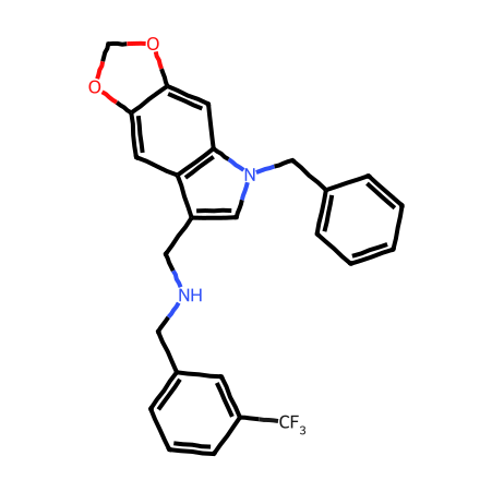 FC(F)(F)c1cccc(CNCc2cn(Cc3ccccc3)c3cc4c(cc23)OCO4)c1